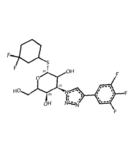 OCC1O[C@H](SC2CCCC(F)(F)C2)C(O)[C@@H](n2cc(-c3cc(F)c(F)c(F)c3)nn2)[C@H]1O